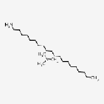 CCCCCCCCCCCCCCCCCCCCN.CN(C)C